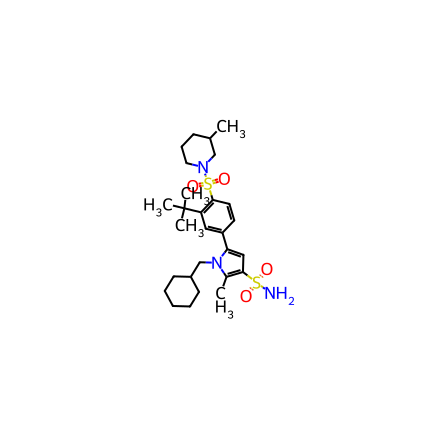 Cc1c(S(N)(=O)=O)cc(-c2ccc(S(=O)(=O)N3CCCC(C)C3)c(C(C)(C)C)c2)n1CC1CCCCC1